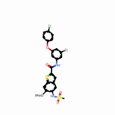 COc1cc2sc(C(=O)Nc3cc(Cl)cc(Oc4ccc(Cl)cc4)c3)cc2cc1NS(C)(=O)=O